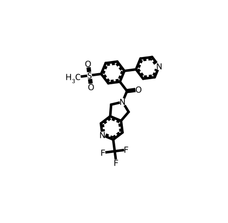 CS(=O)(=O)c1ccc(-c2ccncc2)c(C(=O)N2Cc3cnc(C(F)(F)F)cc3C2)c1